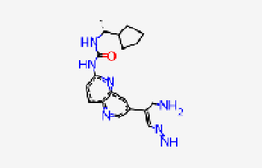 C[C@@H](NC(=O)Nc1ccc2ncc(/C(=C/N=N)CN)cc2n1)C1CCCC1